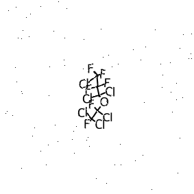 FC(F)(Cl)C(F)(F)C(Cl)(Cl)OC(F)(Cl)C(F)(Cl)Cl